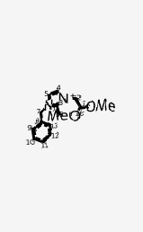 COC(C[n+]1ccn(Cc2ccccc2)c1C)OC